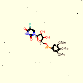 COc1cc(POC[C@@H]2O[C@H](n3cc(F)c(=O)[nH]c3=O)C(O)C2O)cc(OC)c1OC